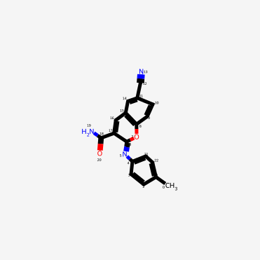 Cc1ccc(/N=c2\oc3ccc(C#N)cc3cc2C(N)=O)cc1